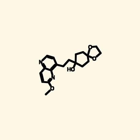 COc1ccc2nccc(CCC3(O)CCC4(CC3)OCCO4)c2n1